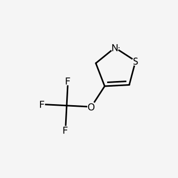 FC(F)(F)OC1=CS[N]C1